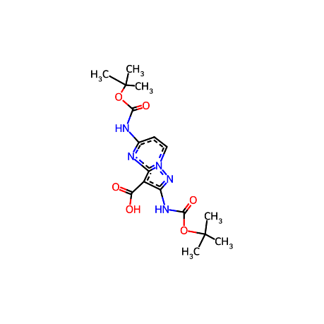 CC(C)(C)OC(=O)Nc1ccn2nc(NC(=O)OC(C)(C)C)c(C(=O)O)c2n1